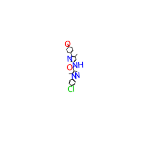 Cc1cc(NC(=O)c2cnn(-c3ccc(Cl)cc3)c2C)cnc1C1=CCC(=O)CC1